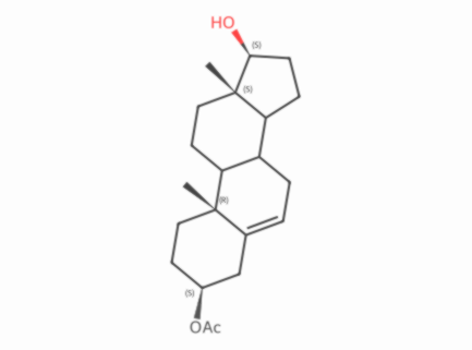 CC(=O)O[C@H]1CC[C@@]2(C)C(=CCC3C2CC[C@@]2(C)C3CC[C@@H]2O)C1